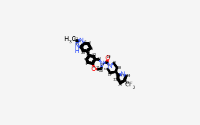 Cc1nc2ccc(-c3ccc4c(c3)CN(C(=O)N3CCC(c5ccc(C(F)(F)F)cn5)CC3)CCO4)cc2[nH]1